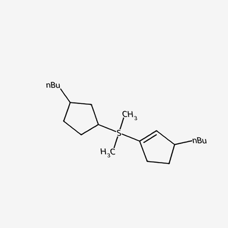 CCCCC1C=C(S(C)(C)C2CCC(CCCC)C2)CC1